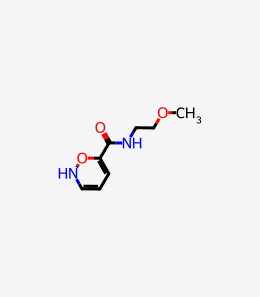 COCCNC(=O)C1=CC=CNO1